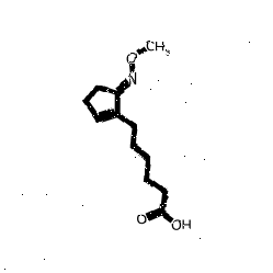 CON=C1CCC=C1CCCCCC(=O)O